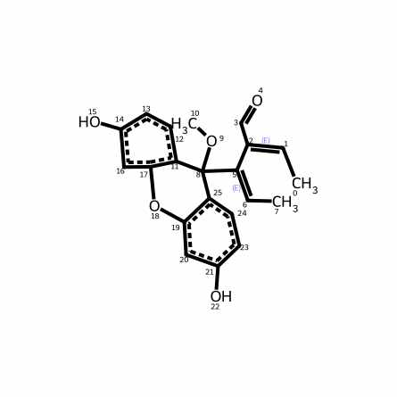 C/C=C(C=O)\C(=C/C)C1(OC)c2ccc(O)cc2Oc2cc(O)ccc21